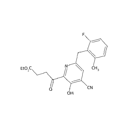 CCOC(=O)CCC(=O)c1nc(Cc2c(C)cccc2F)cc(C#N)c1O